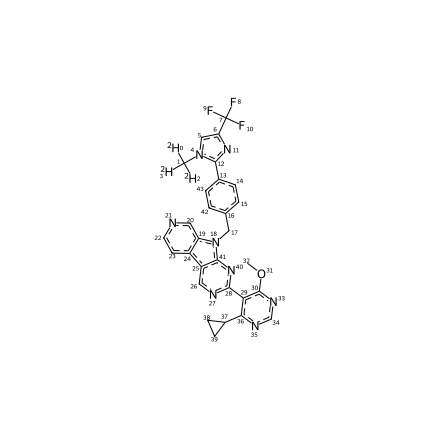 [2H]C([2H])([2H])n1cc(C(F)(F)F)nc1-c1ccc(Cn2c3cnccc3c3cnc(-c4c(OC)ncnc4C4CC4)nc32)cc1